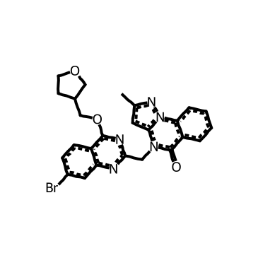 Cc1cc2n(Cc3nc(OCC4CCOC4)c4ccc(Br)cc4n3)c(=O)c3ccccc3n2n1